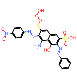 Nc1c(N=Nc2ccc([N+](=O)[O-])cc2)c(SOOO)cc2cc(S(=O)(=O)O)c(N=Nc3ccccc3)c(O)c12